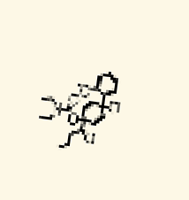 CCCC(=O)C1(OC(=O)N(CC)CC)C=CC(Cl)(c2ccccc2OC)C=C1